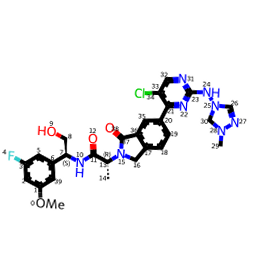 COc1cc(F)cc([C@@H](CO)NC(=O)[C@@H](C)N2Cc3ccc(-c4nc(NN5C=NN(C)C5)ncc4Cl)cc3C2=O)c1